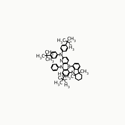 CC(C)(C)c1ccc(N(c2ccc(C(C)(C)C)cc2)c2ccc3c(n2)N(c2ccccc2)c2cc(C(C)(C)C)cc4c2B3c2cccc3c2N4C2(C)CCCCC32C)cc1